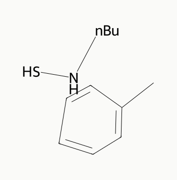 CCCCNS.Cc1ccccc1